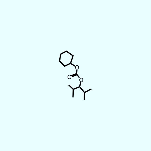 CC(C)C(OC(=O)OC1CCCCC1)C(C)C